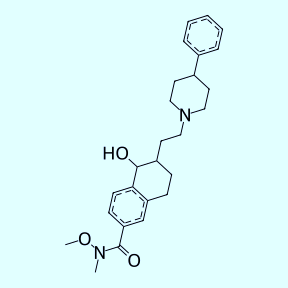 CON(C)C(=O)c1ccc2c(c1)CCC(CCN1CCC(c3ccccc3)CC1)C2O